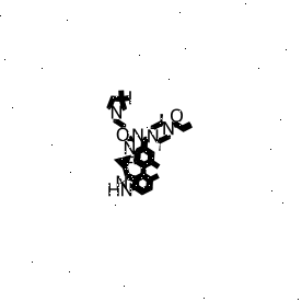 C=CC(=O)N1C[C@H](C)N(c2nc(OCCN3CCC(C)(I)C3)nc3c(F)c(-c4c(C)ccc5[nH]nc(C6CC6)c45)c(C)cc23)C[C@H]1C